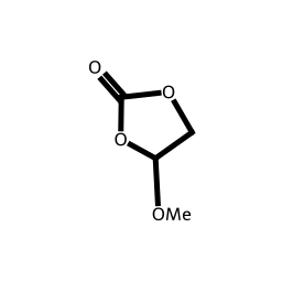 COC1COC(=O)O1